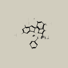 CC1=Cc2c(C)cc(C)cc2[CH]1[Zr](=[SiH2])([CH2]c1ccccc1)[CH]1C(C)=Cc2c(C)cc(C)cc21.Cl.Cl